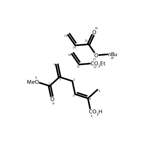 C=C(CC=C(C)C(=O)O)C(=O)OC.C=CC(=O)OCC.C=CC(=O)OCCCC